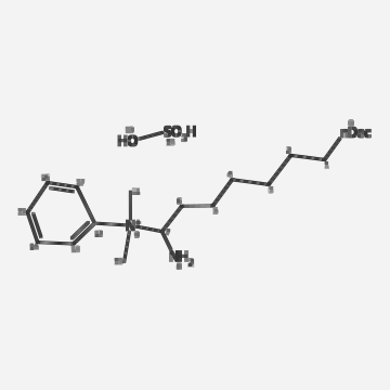 CCCCCCCCCCCCCCCCC(N)[N+](C)(C)c1ccccc1.O=S(=O)(O)O